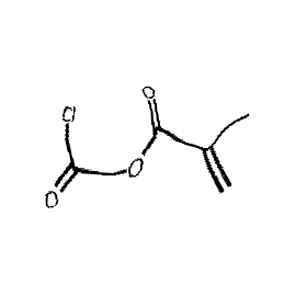 C=C(C)C(=O)OC(=O)Cl